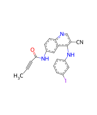 CC#CC(=O)Nc1ccc2ncc(C#N)c(Nc3cccc(I)c3)c2c1